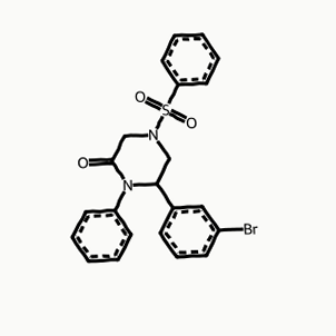 O=C1CN(S(=O)(=O)c2ccccc2)CC(c2cccc(Br)c2)N1c1ccccc1